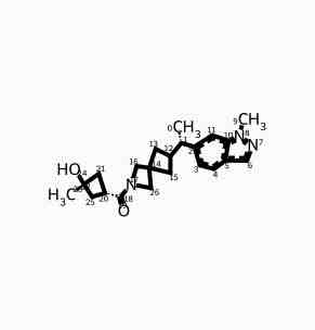 C[C@H](c1ccc2cnn(C)c2c1)C1CC2(C1)CN(C(=O)[C@H]1C[C@@](C)(O)C1)C2